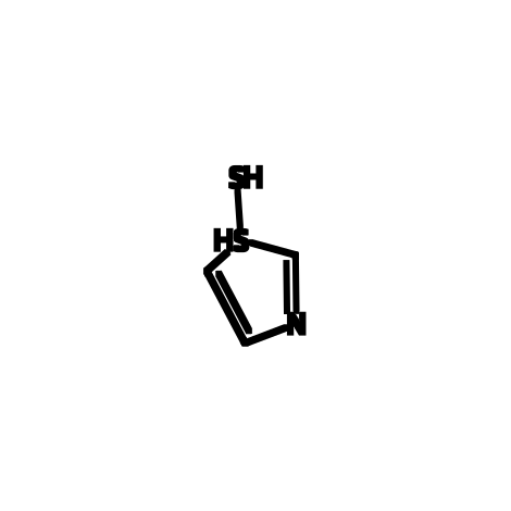 S[SH]1C=CN=C1